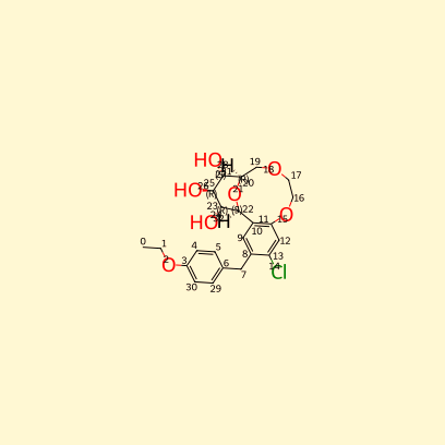 CCOc1ccc(Cc2cc3c(cc2Cl)OCCOC[C@H]2O[C@@H]3[C@H](O)[C@@H](O)[C@@H]2O)cc1